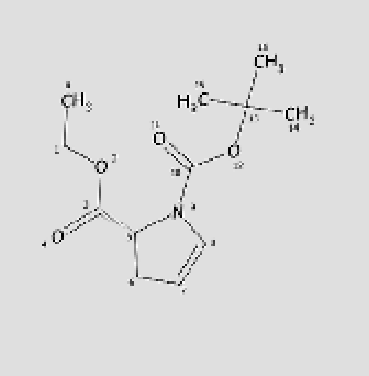 CCOC(=O)[C@H]1CC=CN1C(=O)OC(C)(C)C